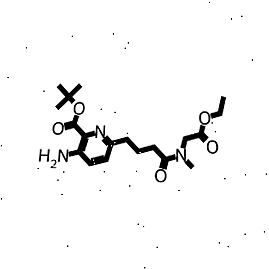 CCOC(=O)CN(C)C(=O)CCCc1ccc(N)c(C(=O)OC(C)(C)C)n1